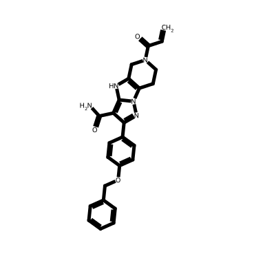 C=CC(=O)N1CCc2c([nH]c3c(C(N)=O)c(-c4ccc(OCc5ccccc5)cc4)nn23)C1